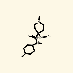 CC1CCC(N(C)C(=O)C2(NC(C)C)CCN(C)CC2)CC1